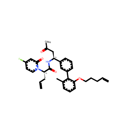 C=CCCCOc1cccc(C)c1-c1cccc([C@H](CC(=O)OC)NC(=O)[C@H](CC=C)n2ccc(F)cc2=O)c1